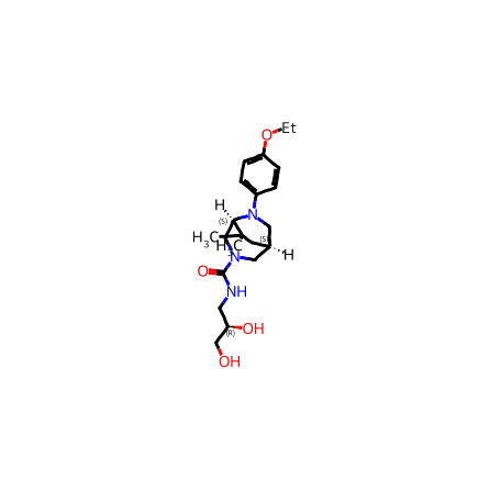 CCOc1ccc(N2C[C@H]3CN(C(=O)NC[C@@H](O)CO)C[C@@H]2C(C)(C)C3)cc1